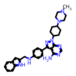 CN1CCN(C2CCC(n3nc(-c4ccc(NCc5cc6ccccc6[nH]5)cc4)c4c(N)ncnc43)CC2)CC1